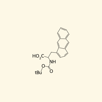 CC(C)(C)OC(=O)NC(Cc1cccc2cc3ccccc3cc12)C(=O)O